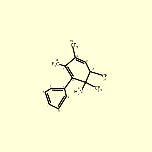 NC1(C(F)(F)F)C(c2ccccc2)=C(C(F)(F)F)C(C(F)(F)F)=CC1C(F)(F)F